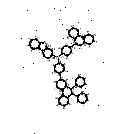 c1ccc(-c2c(-c3ccccc3)c3cc(-c4ccc(N(c5ccc(-c6cc7ccccc7c7ccccc67)cc5)c5ccc6c(c5)sc5ccccc56)cc4)ccc3c3ccccc23)cc1